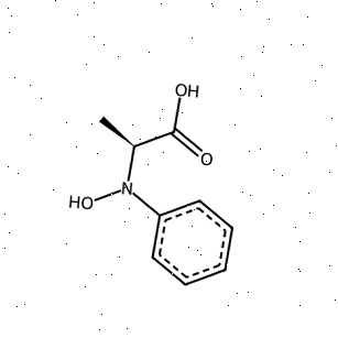 C[C@@H](C(=O)O)N(O)c1ccccc1